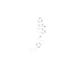 O=C(CC(NS(=O)(=O)c1ccc2ccccc2c1)c1ccc2occcc1-2)NC1CCOc2cc(CN3CCCCC3)ccc21